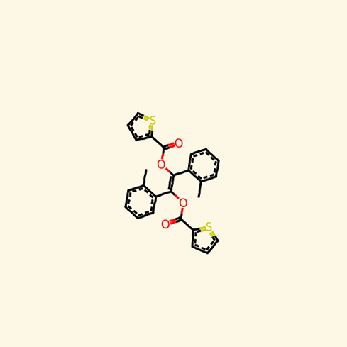 Cc1ccccc1/C(OC(=O)c1cccs1)=C(\OC(=O)c1cccs1)c1ccccc1C